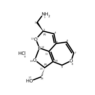 Cl.NC[C@H]1C=C2C=COCC3=C2B(O1)O[C@H]3CO